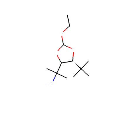 CCOC1OC(C(C)(C)N)[C@H](C(C)(C)C)O1